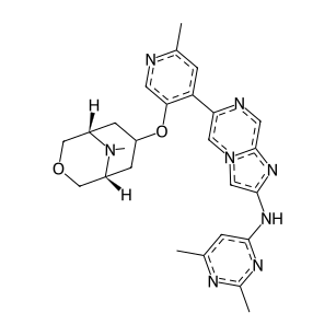 Cc1cc(-c2cn3cc(Nc4cc(C)nc(C)n4)nc3cn2)c(OC2C[C@H]3COC[C@@H](C2)N3C)cn1